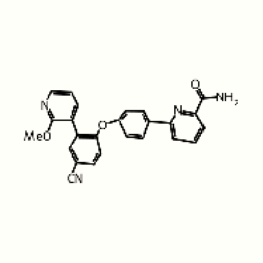 COc1ncccc1-c1cc(C#N)ccc1Oc1ccc(-c2cccc(C(N)=O)n2)cc1